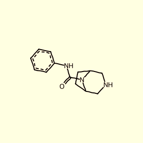 O=C(Nc1ccccc1)N1C2CCC1CNC2